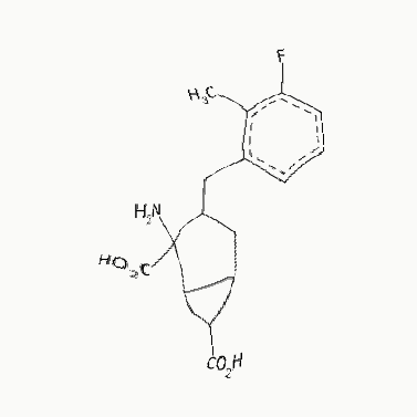 Cc1c(F)cccc1CC1CC2C(C(=O)O)C2C1(N)C(=O)O